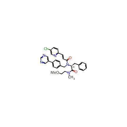 COCCN(C)C(=O)[C@H](Cc1ccccc1)N(Cc1ccc(-c2cncnc2)cc1)C(=O)/C=C/c1ccc(Cl)cn1